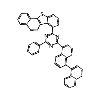 c1ccc(-c2nc(-c3cccc4c(-c5cccc6ccccc56)cccc34)nc(-c3cccc4sc5c6ccccc6ccc5c34)n2)cc1